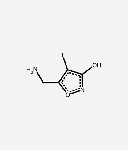 NCc1onc(O)c1I